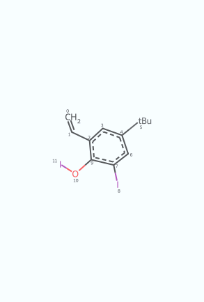 C=Cc1cc(C(C)(C)C)cc(I)c1OI